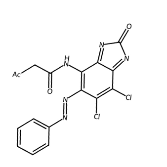 CC(=O)CC(=O)Nc1c(N=Nc2ccccc2)c(Cl)c(Cl)c2c1=NC(=O)N=2